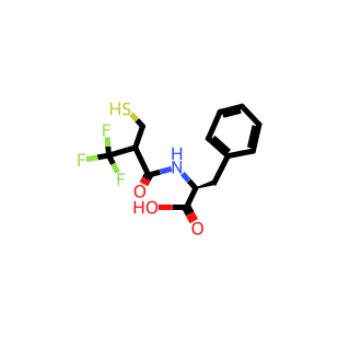 O=C(N[C@@H](Cc1ccccc1)C(=O)O)C(CS)C(F)(F)F